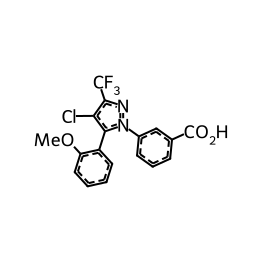 COc1ccccc1-c1c(Cl)c(C(F)(F)F)nn1-c1cccc(C(=O)O)c1